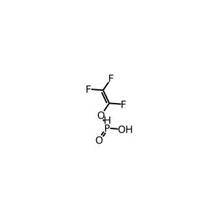 O=[PH](O)OC(F)=C(F)F